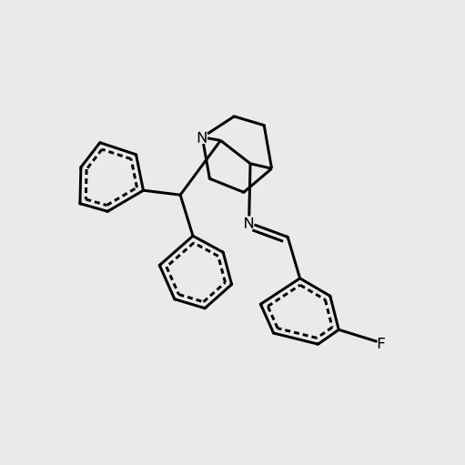 Fc1cccc(C=NC2C3CCN(CC3)C2C(c2ccccc2)c2ccccc2)c1